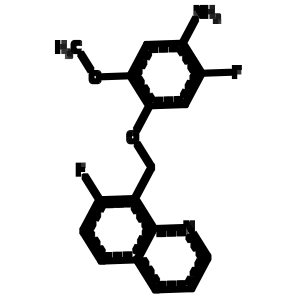 COc1cc(N)c(F)cc1OCc1c(F)ccc2cccnc12